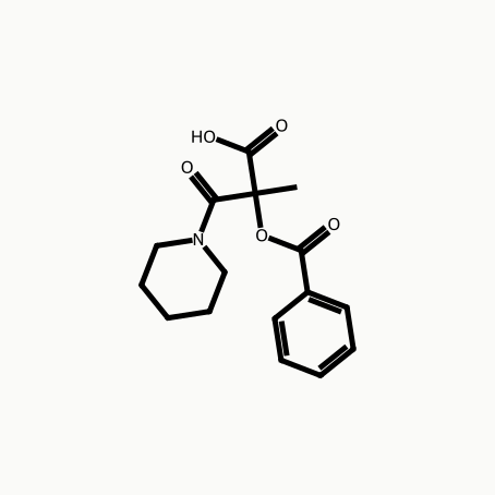 CC(OC(=O)c1ccccc1)(C(=O)O)C(=O)N1CCCCC1